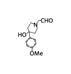 COc1ccc(C2(O)CCN(CC=O)CC2)cc1